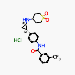 Cl.O=C(Nc1ccc([C@@H]2C[C@H]2NC2CCS(=O)(=O)CC2)cc1)c1cccc(C(F)(F)F)c1